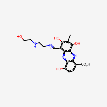 Cc1c(O)c(/C=N/CCNCCO)c2nc3c(O)ccc(C(=O)O)c3nc2c1O